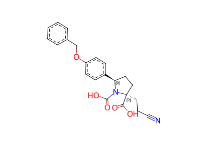 N#CCC[C@@]1(C(=O)O)CC[C@H](c2ccc(OCc3ccccc3)cc2)N1C(=O)O